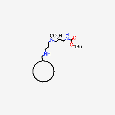 CC(C)(C)OC(=O)NCCCN(CCCNCC1CCCCCCCCCCCCCC1)C(=O)O